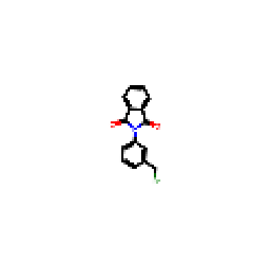 O=C1c2ccccc2C(=O)N1c1cccc(CBr)c1